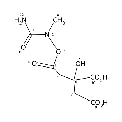 CN(OC(=O)CC(O)(CC(=O)O)C(=O)O)C(N)=O